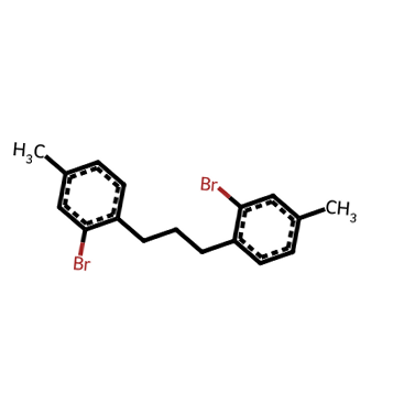 Cc1ccc(CCCc2ccc(C)cc2Br)c(Br)c1